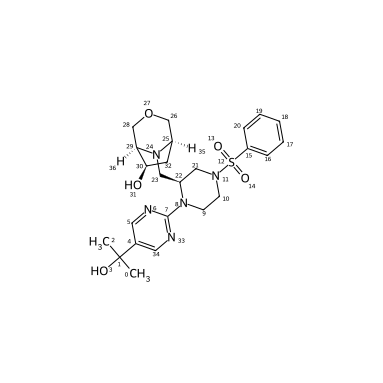 CC(C)(O)c1cnc(N2CCN(S(=O)(=O)c3ccccc3)C[C@@H]2CN2[C@H]3COC[C@@H]2[C@H](O)C3)nc1